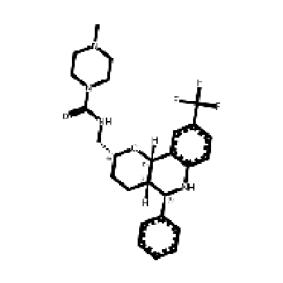 CN1CCN(C(=O)NC[C@H]2CC[C@@H]3[C@H](O2)c2cc(C(F)(F)F)ccc2N[C@H]3c2ccccc2)CC1